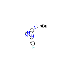 CCCCC1CCN(c2ccc3c(c2)Cn2cc(-c4ccc(F)cc4)cc2-c2nccn2-3)C1